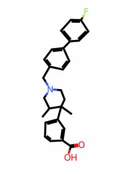 CC1CN(Cc2ccc(-c3ccc(F)cc3)cc2)CCC1(C)c1cccc(C(=O)O)c1